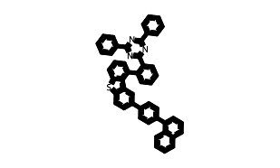 c1ccc(-c2nc(-c3ccccc3)nc(-c3ccccc3-c3cccc4sc5ccc(-c6ccc(-c7cccc8ccccc78)cc6)cc5c34)n2)cc1